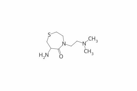 CN(C)CCN1CCSCC(N)C1=O